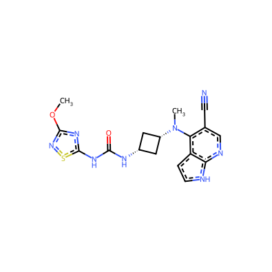 COc1nsc(NC(=O)N[C@H]2C[C@@H](N(C)c3c(C#N)cnc4[nH]ccc34)C2)n1